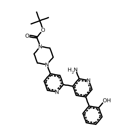 CC(C)(C)OC(=O)N1CCN(c2ccnc(-c3cc(-c4ccccc4O)cnc3N)c2)CC1